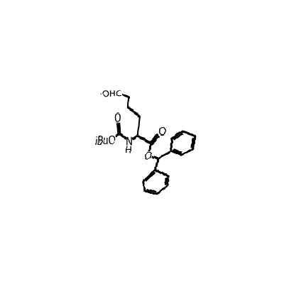 CC(C)COC(=O)NC(CCC[C]=O)C(=O)OC(c1ccccc1)c1ccccc1